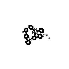 Cc1ccccc1-c1ccc2c3ccccc3n(-c3ccc(-c4ccc(C(F)(F)F)cc4)c(-c4nc(-c5ccccc5)nc(-c5ccccc5)n4)c3)c2c1